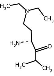 CCN(CC)CC[C@@H](N)C(=O)C(C)C